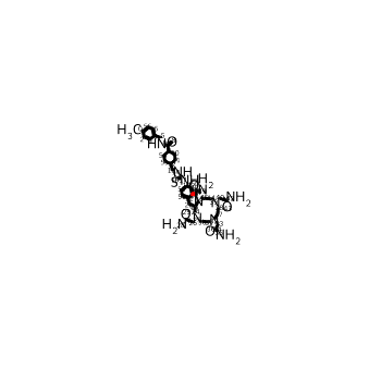 Cc1ccc(CNC(=O)C2CCC(CNC(=S)Nc3ccc(CC4CN(CC(N)=O)CCN(CC(N)=O)CCN(CC(N)=O)CCN4CC(N)=O)cc3)CC2)cc1